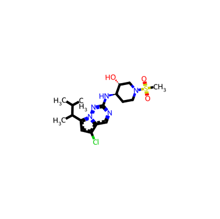 CC(C)C(C)c1cc(Cl)c2cnc(N[C@@H]3CCN(S(C)(=O)=O)C[C@H]3O)nn12